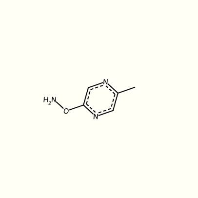 Cc1cnc(ON)cn1